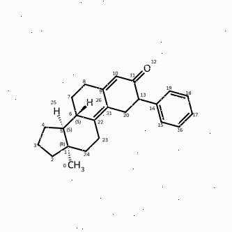 C[C@]12CCC[C@H]1[C@@H]1CCC3=CC(=O)C(c4ccccc4)CC3=C1CC2